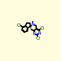 CN1Cc2c(Cl)nc(Cl)nc2C[C@]12CCc1c(Cl)cccc12